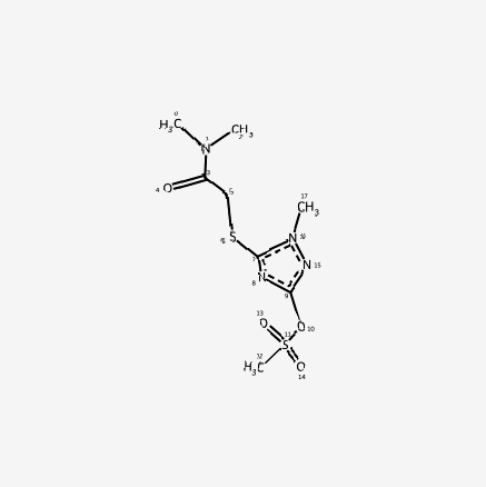 CN(C)C(=O)CSc1nc(OS(C)(=O)=O)nn1C